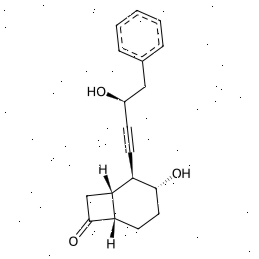 O=C1C[C@@H]2[C@@H](C#C[C@@H](O)Cc3ccccc3)[C@H](O)CC[C@H]12